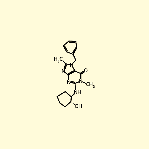 Cc1nc2nc(N[C@@H]3CCCC[C@H]3O)n(C)c(=O)c2n1Cc1ccccc1